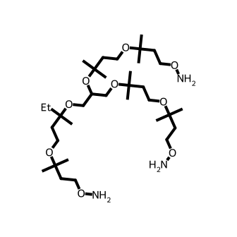 CCC(C)(CCOC(C)(C)CCON)OCC(COC(C)(C)CCOC(C)(C)CCON)OC(C)(C)CCOC(C)(C)CCON